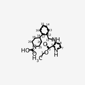 CCOC(=O)c1[nH]ccc1NCc1ccccc1C1CCN(C(=O)O)CC1